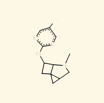 CN1CC2CC23CC(Nc2ncc(C(F)(F)F)cn2)C13